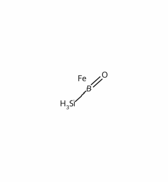 O=B[SiH3].[Fe]